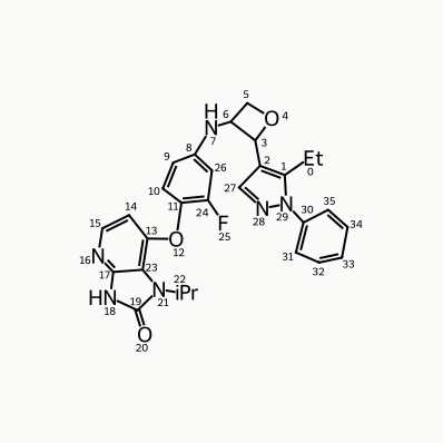 CCc1c(C2OCC2Nc2ccc(Oc3ccnc4[nH]c(=O)n(C(C)C)c34)c(F)c2)cnn1-c1ccccc1